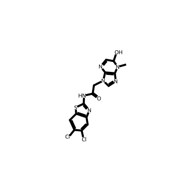 CN1c2ncn(CC(=O)Nc3nc4cc(Cl)c(Cl)cc4s3)c2N=CC1O